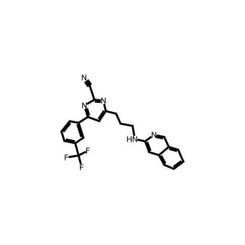 N#Cc1nc(CCCNc2cc3ccccc3cn2)cc(-c2cccc(C(F)(F)F)c2)n1